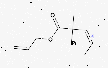 C=CCOC(=O)C(C)(/C=C\C)C(C)C